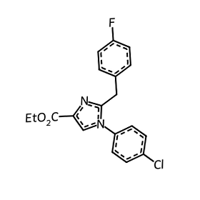 CCOC(=O)c1cn(-c2ccc(Cl)cc2)c(Cc2ccc(F)cc2)n1